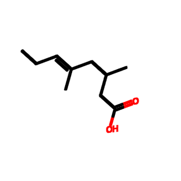 CC/C=C(\C)CC(C)CC(=O)O